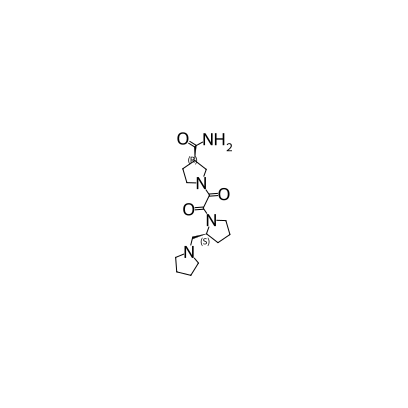 NC(=O)[C@@H]1CCN(C(=O)C(=O)N2CCC[C@H]2CN2CCCC2)C1